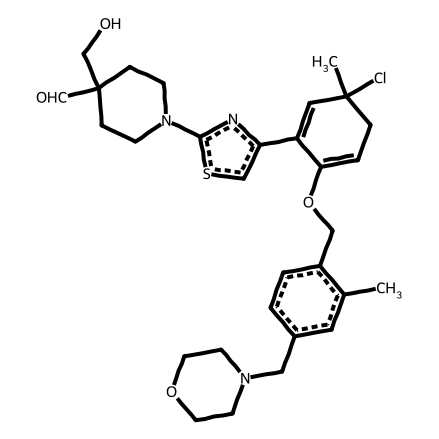 Cc1cc(CN2CCOCC2)ccc1COC1=CCC(C)(Cl)C=C1c1csc(N2CCC(C=O)(CO)CC2)n1